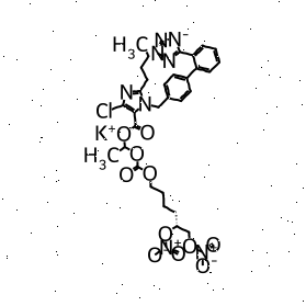 CCCCc1nc(Cl)c(C(=O)OC(C)OC(=O)OCCCC[C@H](CO[N+](=O)[O-])O[N+](=O)[O-])n1Cc1ccc(-c2ccccc2-c2nnn[n-]2)cc1.[K+]